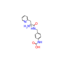 N[C@@H](Cc1ccccn1)C(=O)NCc1ccc(NC(=O)O)cc1